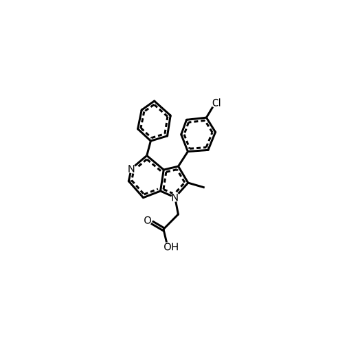 Cc1c(-c2ccc(Cl)cc2)c2c(-c3ccccc3)nccc2n1CC(=O)O